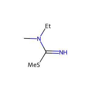 CCN(C)C(=N)SC